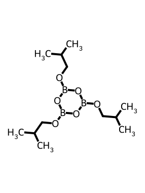 CC(C)COB1OB(OCC(C)C)OB(OCC(C)C)O1